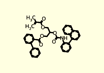 C=C(C)C(=O)OCC(COC(=O)c1ccccc1-c1ccccc1)OC(=O)Nc1ccccc1-c1cccc2ccccc12